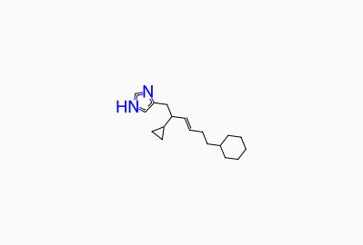 C(=CC(Cc1c[nH]cn1)C1CC1)CCC1CCCCC1